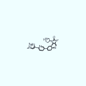 Cn1cc(-c2ccc(-c3ccc4ncc5c(c4c3)n(C3CCNC3)c(=O)n5C)cn2)nn1